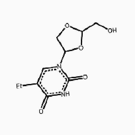 CCc1cn(C2COC(CO)O2)c(=O)[nH]c1=O